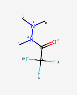 CN(C)N(C)C(=O)C(F)(F)F